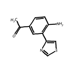 CC(=O)c1ccc(N)c(-c2cscn2)c1